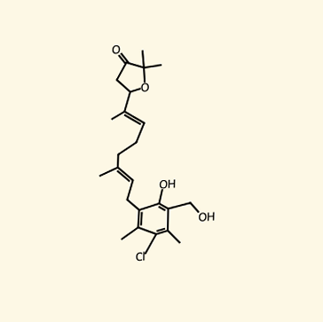 C/C(=C\Cc1c(C)c(Cl)c(C)c(CO)c1O)CC/C=C(\C)C1CC(=O)C(C)(C)O1